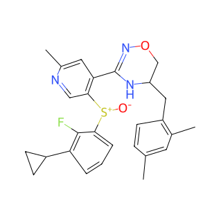 Cc1ccc(CC2CON=C(c3cc(C)ncc3[S+]([O-])c3cccc(C4CC4)c3F)N2)c(C)c1